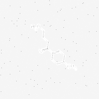 CCCCC(=O)C1=CCC(C)CC1